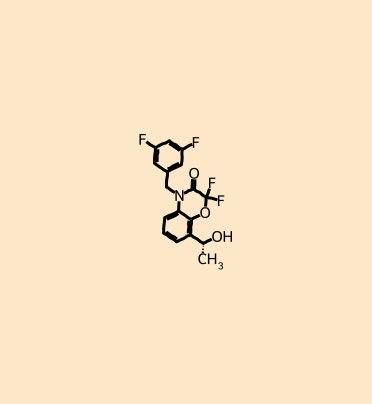 C[C@@H](O)c1cccc2c1OC(F)(F)C(=O)N2Cc1cc(F)cc(F)c1